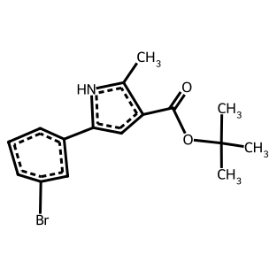 Cc1[nH]c(-c2cccc(Br)c2)cc1C(=O)OC(C)(C)C